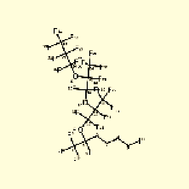 FC(F)(F)C(F)(CCCCI)OC(F)(F)C(F)(OC(F)(F)C(F)(OC(F)(F)C(F)(F)C(F)(F)F)C(F)(F)F)C(F)(F)F